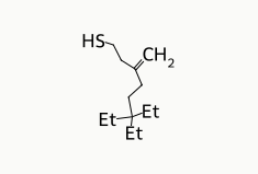 C=C(CCS)CCC(CC)(CC)CC